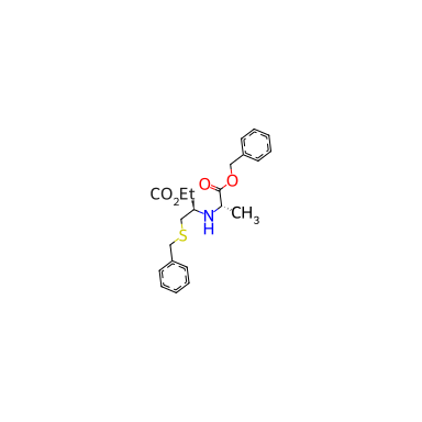 CCOC(=O)[C@H](CSCc1ccccc1)N[C@@H](C)C(=O)OCc1ccccc1